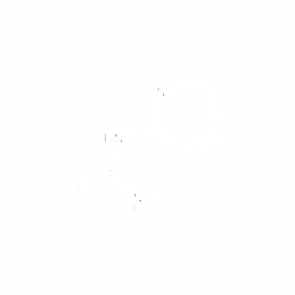 S=C1NCc2cccnc2N1